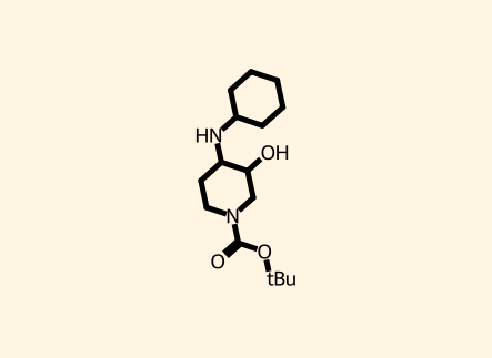 CC(C)(C)OC(=O)N1CCC(NC2CCCCC2)C(O)C1